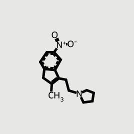 CC1=C(CCN2CCCC2)c2cc([N+](=O)[O-])ccc2C1